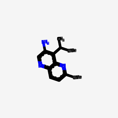 COc1ccc2ncc(N)c(C(C)OC)c2n1